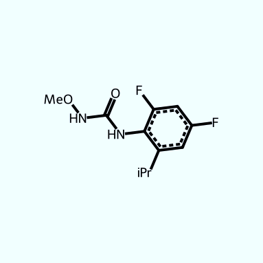 CONC(=O)Nc1c(F)cc(F)cc1C(C)C